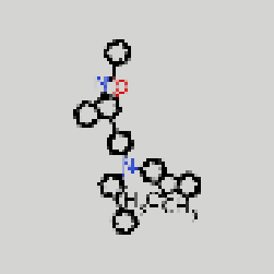 CC1(C)c2ccccc2-c2ccc(N(c3ccc(-c4cc5oc(-c6ccccc6)nc5c5ccccc45)cc3)c3cccc(-c4ccccc4)c3)cc21